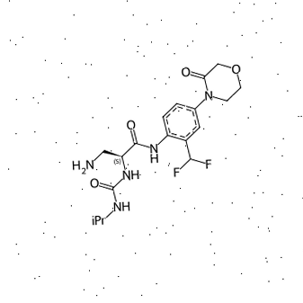 CC(C)NC(=O)N[C@@H](CN)C(=O)Nc1ccc(N2CCOCC2=O)cc1C(F)F